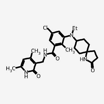 CCN(c1cc(Cl)cc(C(=O)NCc2c(C)cc(C)[nH]c2=O)c1C)C1CCC2(CCC(=O)N2)CC1